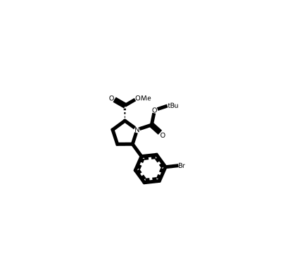 COC(=O)[C@H]1CCC(c2cccc(Br)c2)N1C(=O)OC(C)(C)C